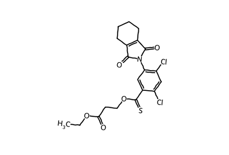 CCOC(=O)CCOC(=S)c1cc(N2C(=O)C3=C(CCCC3)C2=O)c(Cl)cc1Cl